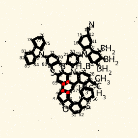 Bc1c(B)c(B)c2c(c1B)c1cc(C#N)ccc1n2-c1ccc2c(c1)N(c1ccc(C(C)(C)C)cc1-c1ccccc1)c1cc(-c3ccc4oc5ccc6sc7ccccc7c6c5c4c3)cc3c1B2c1ccc(-n2c4ccccc4c4ccccc42)cc1S3